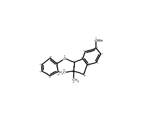 COc1ccc2c(c1)C(Oc1ccccc1)C(C)(C)C2